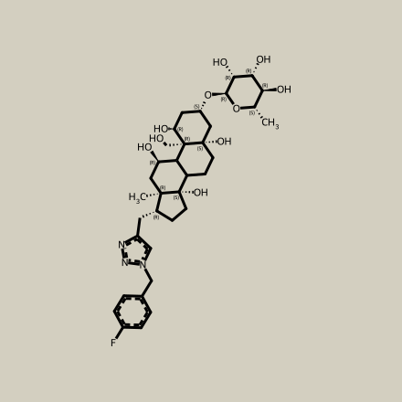 C[C@@H]1O[C@@H](O[C@H]2C[C@@H](O)[C@]3(CO)C4C(CC[C@]3(O)C2)[C@@]2(O)CC[C@H](Cc3cn(Cc5ccc(F)cc5)nn3)[C@@]2(C)C[C@H]4O)[C@H](O)[C@H](O)[C@H]1O